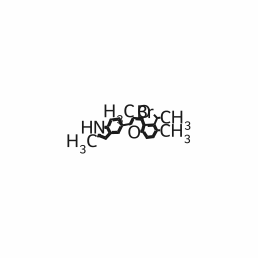 Cc1cc2cc(-c3oc4ccc(C)c(C(C)Br)c4c(=O)c3C)ccc2[nH]1